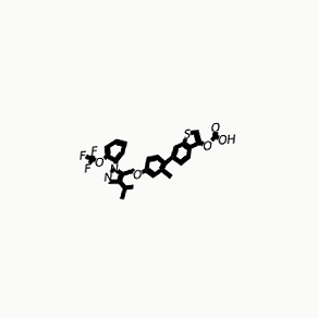 Cc1cc(OCc2c(C(C)C)cnn2-c2ccccc2OC(F)(F)F)ccc1-c1ccc2c(OC(=O)O)csc2c1